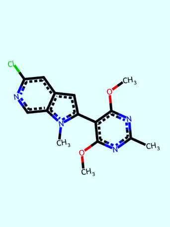 COc1nc(C)nc(OC)c1-c1cc2cc(Cl)ncc2n1C